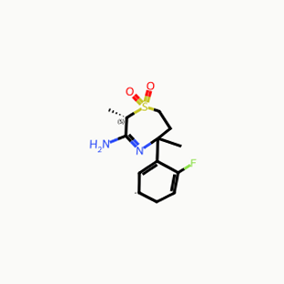 C[C@H]1C(N)=NC(C)(C2=C[CH]CC=C2F)CCS1(=O)=O